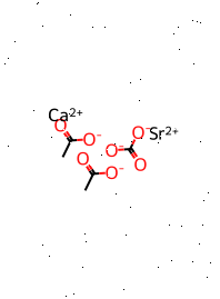 CC(=O)[O-].CC(=O)[O-].O=C([O-])[O-].[Ca+2].[Sr+2]